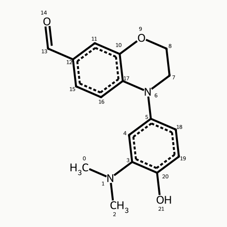 CN(C)c1cc(N2CCOc3cc(C=O)ccc32)ccc1O